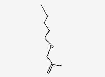 C=C(C)COCCCCC